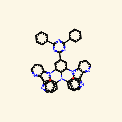 c1ccc(-c2nc(-c3ccccc3)nc(-c3cc(-n4c5cccnc5c5ncccc54)c(N(c4ccccc4)c4ccccc4)c(-n4c5cccnc5c5ncccc54)c3)n2)cc1